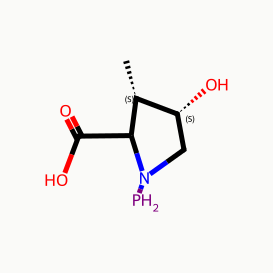 C[C@H]1C(C(=O)O)N(P)C[C@H]1O